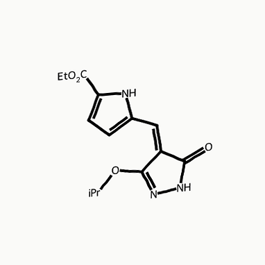 CCOC(=O)c1ccc(C=C2C(=O)NN=C2OC(C)C)[nH]1